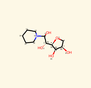 OC([C@@H](O)[C@H]1OC[C@@H](O)[C@H]1O)N1CCCCC1